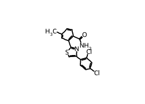 Cc1ccc(C(N)=O)c(-c2nc(-c3ccc(Cl)cc3Cl)cs2)c1